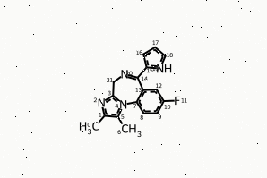 Cc1nc2n(c1C)-c1ccc(F)cc1C(c1ccc[nH]1)=NC2